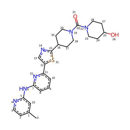 Cc1ccnc(Nc2cccc(-c3cnc(C4CCN(C(=O)N5CCC(O)CC5)CC4)s3)n2)c1